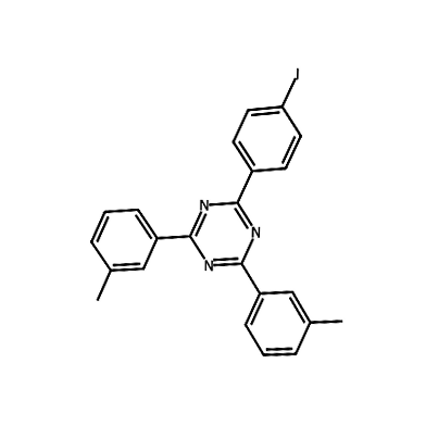 Cc1cccc(-c2nc(-c3ccc(I)cc3)nc(-c3cccc(C)c3)n2)c1